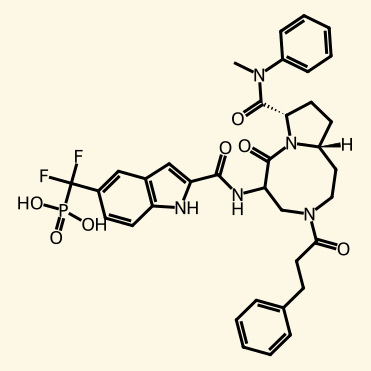 CN(C(=O)[C@@H]1CC[C@@H]2CCN(C(=O)CCc3ccccc3)CC(NC(=O)c3cc4cc(C(F)(F)P(=O)(O)O)ccc4[nH]3)C(=O)N21)c1ccccc1